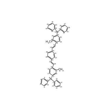 Cc1cc(N(c2ccccc2)c2ccccc2)ccc1C=Cc1ccc(C=Cc2ccc(N(c3ccccc3)c3ccccc3)cc2C)cc1